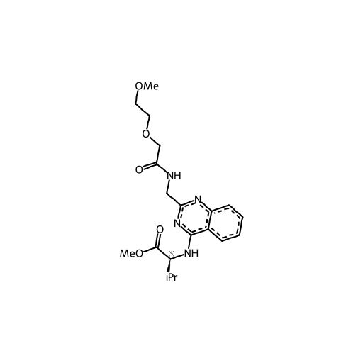 COCCOCC(=O)NCc1nc(N[C@H](C(=O)OC)C(C)C)c2ccccc2n1